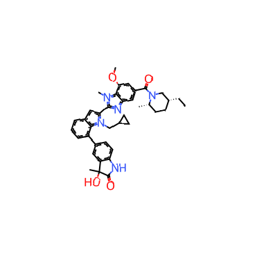 CC[C@@H]1CC[C@H](C)N(C(=O)c2cc(OC)c3c(c2)nc(-c2cc4cccc(-c5ccc6c(c5)C(C)(O)C(=O)N6)c4n2CC2CC2)n3C)C1